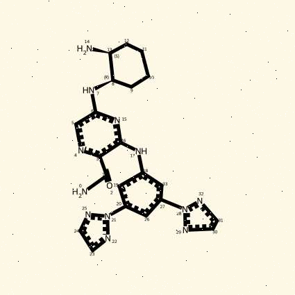 NC(=O)c1ncc(N[C@@H]2CCCC[C@@H]2N)nc1Nc1cc(-n2nccn2)cc(-n2nccn2)c1